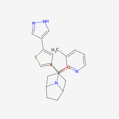 Cc1cccnc1C1(F)CC2CCC(C1)N2C(=O)c1csc(-c2cn[nH]c2)c1